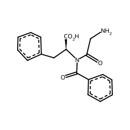 NCC(=O)N(C(=O)c1ccccc1)[C@@H](Cc1ccccc1)C(=O)O